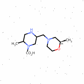 CC1CNC(CN2CCO[C@H](C)C2)CN1C(=O)O